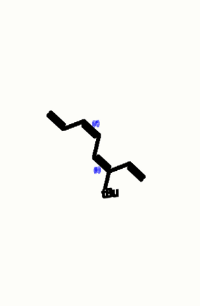 C=C/C=C\C=C(/C=C)C(C)(C)C